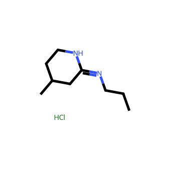 CCC/N=C1\CC(C)CCN1.Cl